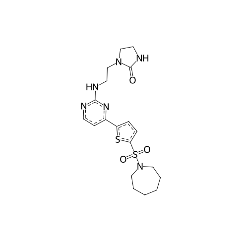 O=C1NCCN1CCNc1nccc(-c2ccc(S(=O)(=O)N3CCCCCC3)s2)n1